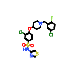 O=S(=O)(Nc1cscn1)c1ccc(OC2CCN(Cc3cc(Cl)ccc3F)CC2)c(Cl)c1